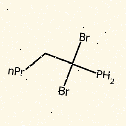 CCCCC(P)(Br)Br